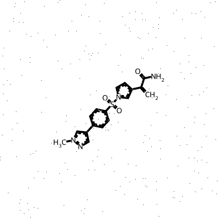 C=C(C(N)=O)c1ccn(S(=O)(=O)c2ccc(-c3cnn(C)c3)cc2)c1